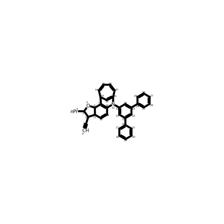 C#CC1C(CCC)OC2C3=C(C=CC21)N(c1cc(-c2ccccc2)cc(-c2ccccc2)c1)C1=CC3C=CC=C1